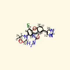 CC1(C)CN(c2cc(F)c3c(c2)[C@]2(COC(N)=N2)c2cc(-c4cncnc4)ccc2O3)CCO1